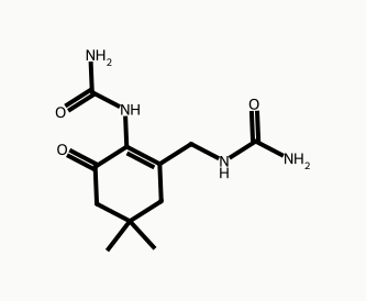 CC1(C)CC(=O)C(NC(N)=O)=C(CNC(N)=O)C1